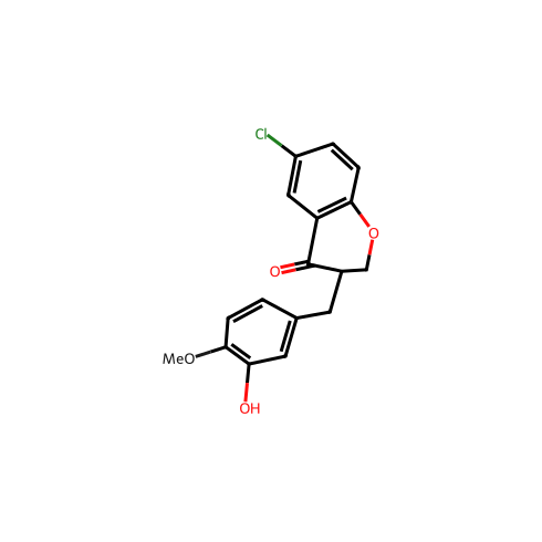 COc1ccc(CC2COc3ccc(Cl)cc3C2=O)cc1O